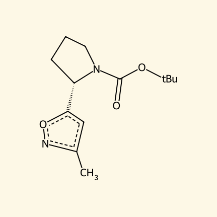 Cc1cc([C@@H]2CCCN2C(=O)OC(C)(C)C)on1